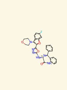 O=C1Nc2ccccc2C(c2ccccc2)=N[C@@H]1Nc1nnc(-c2oc3cc(F)ccc3c2N2CCOCC2)o1